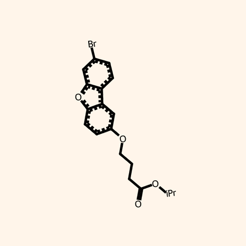 CC(C)OC(=O)CCCOc1ccc2oc3cc(Br)ccc3c2c1